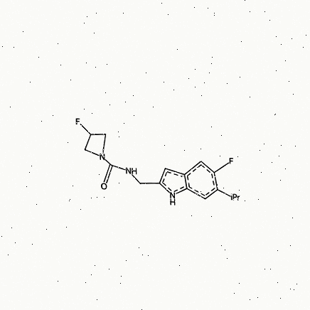 CC(C)c1cc2[nH]c(CNC(=O)N3CC(F)C3)cc2cc1F